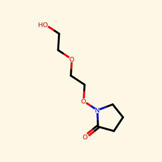 O=C1CCCN1OCCOCCO